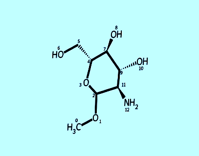 COC1O[C@H](CO)[C@@H](O)[C@H](O)[C@H]1N